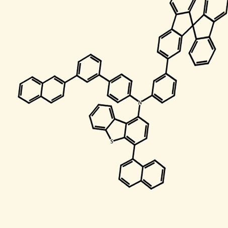 c1cc(-c2ccc(N(c3cccc(-c4ccc5c(c4)C4(c6ccccc6-c6ccccc64)c4ccccc4-5)c3)c3ccc(-c4cccc5ccccc45)c4sc5ccccc5c34)cc2)cc(-c2ccc3ccccc3c2)c1